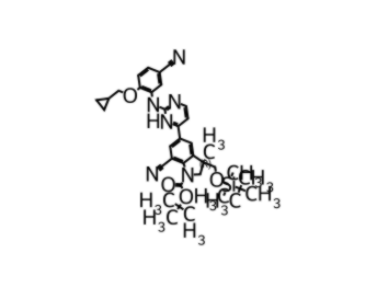 CC(C)(C)OC(=O)N1C[C@](C)(CO[Si](C)(C)C(C)(C)C)c2cc(-c3ccnc(Nc4cc(C#N)ccc4OCC4CC4)n3)cc(C#N)c21